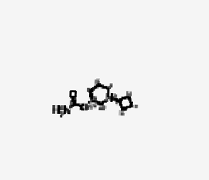 NC(=O)O[C@@H]1CCCN(C2CCC2)C1